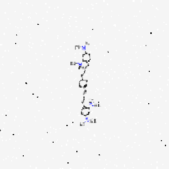 CCN(CC)c1ccc(C=CC=Cc2ccc(C=CC=Cc3ccc(N(CC)CC)cc3N(CC)CC)cc2)c(N(CC)CC)c1